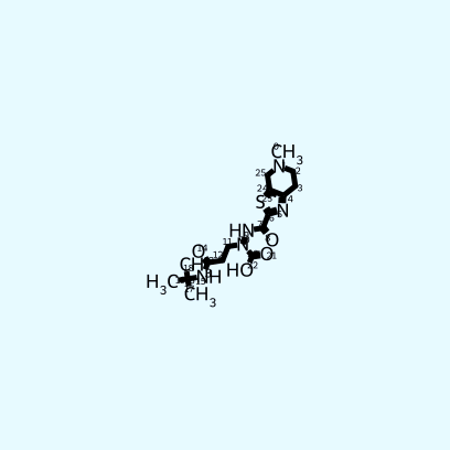 CN1CCc2nc(C(=O)NN(CCC(=O)NC(C)(C)C)C(=O)O)sc2C1